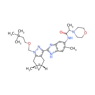 Cc1cc2[nH]c(-c3nn(COCC[Si](C)(C)C)c4c3C[C@@H]3C[C@]3(C)C4)nc2cc1NC(=O)C(C)N1CCOCC1